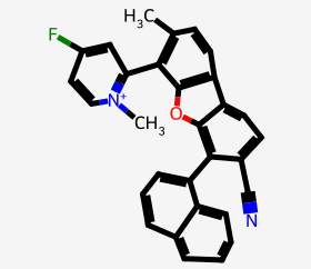 Cc1ccc2c(oc3c(-c4cccc5ccccc45)c(C#N)ccc32)c1-c1cc(F)cc[n+]1C